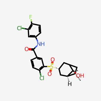 C[C@H]1CC2C[C@@H](S(=O)(=O)c3cc(C(=O)Nc4ccc(F)c(Cl)c4)ccc3Cl)C[C@H]1[C@]2(C)O